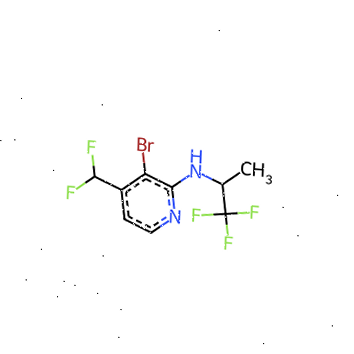 CC(Nc1nccc(C(F)F)c1Br)C(F)(F)F